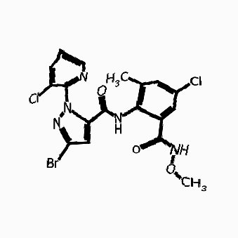 CONC(=O)c1cc(Cl)cc(C)c1NC(=O)c1cc(Br)nn1-c1ncccc1Cl